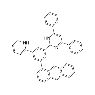 C1=CCNC(c2cc(-c3cccc4cc5ccccc5cc34)cc(C3N=C(c4ccccc4)C=C(c4ccccc4)N3)c2)=C1